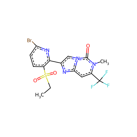 CCS(=O)(=O)c1ccc(Br)nc1-c1cn2c(=O)n(C)c(C(F)(F)F)cc2n1